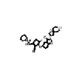 N#Cc1c(NS(=O)(=O)N2CCCCC2)ccc(F)c1Oc1ccc2ncn([C@H]3COC4(CCNCC4)C3)c(=O)c2c1